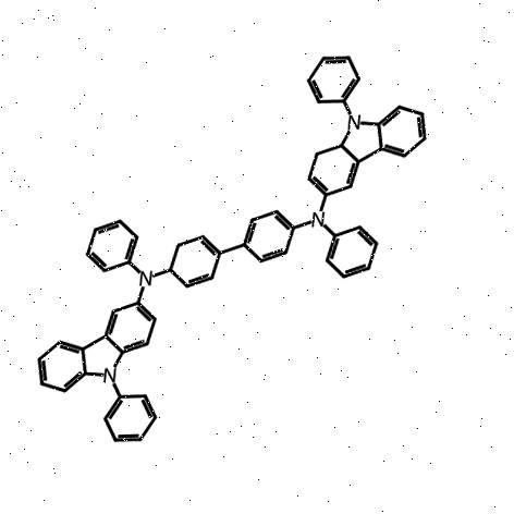 C1=CC(N(c2ccccc2)c2ccc3c(c2)c2ccccc2n3-c2ccccc2)CC=C1c1ccc(N(C2=CCC3C(=C2)c2ccccc2N3c2ccccc2)c2ccccc2)cc1